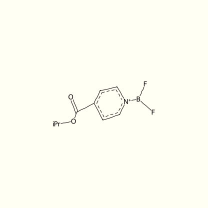 CC(C)OC(=O)c1cc[n+](B(F)F)cc1